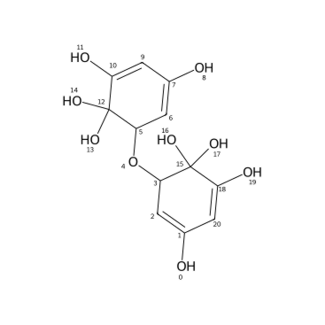 OC1=CC(OC2C=C(O)C=C(O)C2(O)O)C(O)(O)C(O)=C1